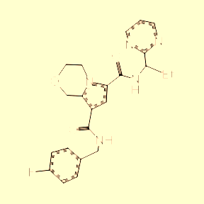 CCC(NC(=O)c1cc(C(=O)N[C@H](C)c2ccc(F)cc2)c2n1CCOC2)c1ncccn1